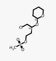 CS(=O)(=O)OCC[C@@H](CCl)O[C@H]1CCCCO1